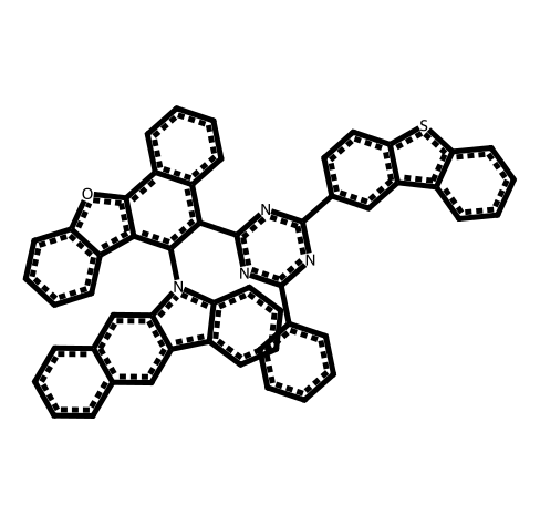 c1ccc(-c2nc(-c3ccc4sc5ccccc5c4c3)nc(-c3c(-n4c5ccccc5c5cc6ccccc6cc54)c4c5ccccc5oc4c4ccccc34)n2)cc1